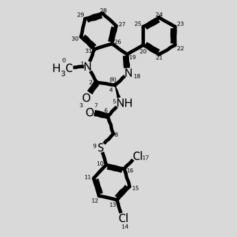 CN1C(=O)[C@H](NC(=O)CSc2ccc(Cl)cc2Cl)N=C(c2ccccc2)c2ccccc21